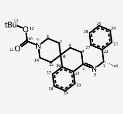 C[C@H](/N=C1\CCC2(CCN(C(=O)OC(C)(C)C)CC2)c2ccccc21)c1ccccc1